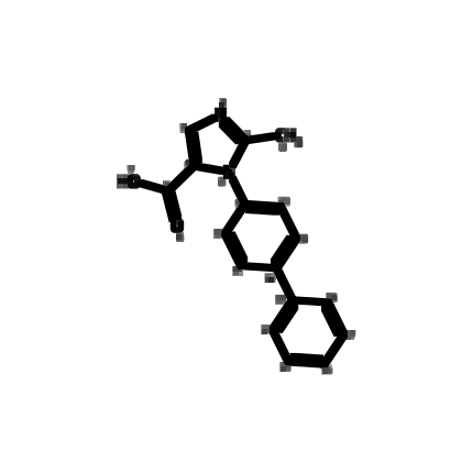 Cc1ncc(C(=O)O)n1-c1ccc(-c2ccccc2)cc1